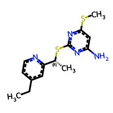 CCc1ccnc([C@@H](C)Sc2nc(N)cc(SC)n2)c1